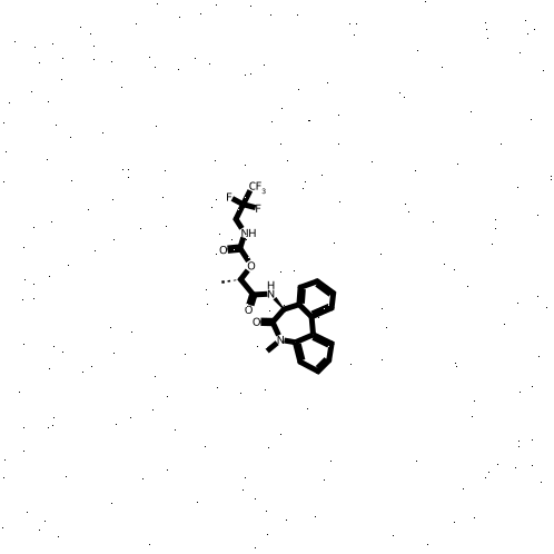 C[C@H](OC(=O)NCC(F)(F)C(F)(F)F)C(=O)N[C@@H]1C(=O)N(C)c2ccccc2-c2ccccc21